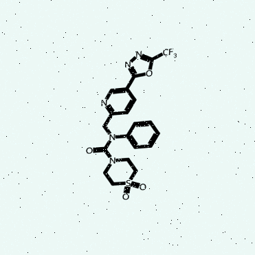 O=C(N1CCS(=O)(=O)CC1)N(Cc1ccc(-c2nnc(C(F)(F)F)o2)cn1)c1ccccc1